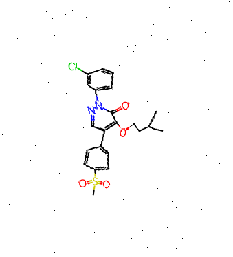 CC(C)CCOc1c(-c2ccc(S(C)(=O)=O)cc2)cnn(-c2cccc(Cl)c2)c1=O